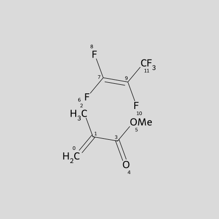 C=C(C)C(=O)OC.FC(F)=C(F)C(F)(F)F